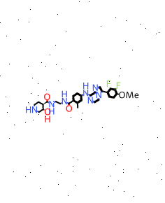 COc1ccc(-c2cnc3c(Nc4ccc(C(=O)NCCNC(=O)[C@@H]5CCNC[C@@H]5O)c(C)c4)nccn23)c(F)c1F